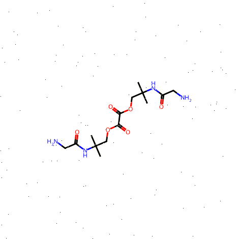 CC(C)(COC(=O)C(=O)OCC(C)(C)NC(=O)CN)NC(=O)CN